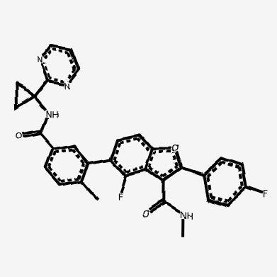 CNC(=O)c1c(-c2ccc(F)cc2)oc2ccc(-c3cc(C(=O)NC4(c5ncccn5)CC4)ccc3C)c(F)c12